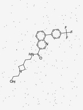 O=C(NCCC1CN(CCO)C1)c1cnc2c(-c3ccc(C(F)(F)F)cc3)cccc2c1